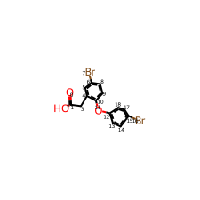 O=C(O)Cc1cc(Br)ccc1Oc1ccc(Br)cc1